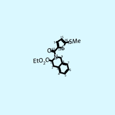 CCOC(=O)C1Cc2ccccc2CN1C(=O)c1ccc(SC)s1